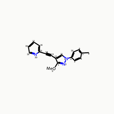 COc1nn(-c2ccc(C)cc2)cc1C#Cc1ccccn1